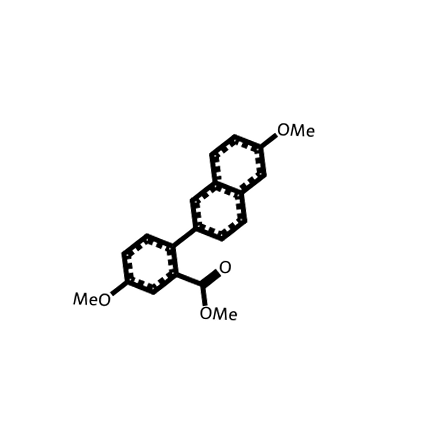 COC(=O)c1cc(OC)ccc1-c1ccc2cc(OC)ccc2c1